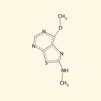 CNc1nc2c(OC)ncnc2s1